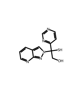 OCC(S)(c1ccncn1)n1cc2cccnc2n1